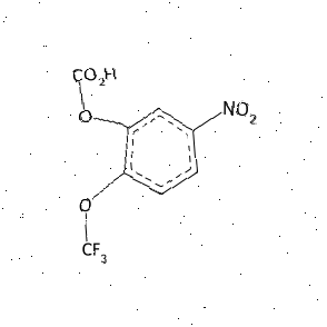 O=C(O)Oc1cc([N+](=O)[O-])ccc1OC(F)(F)F